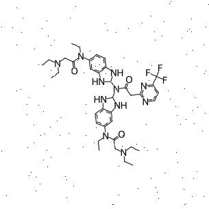 CCN(CC)CC(=O)N(CC)c1ccc2c(c1)NC(N(C(=O)Cc1nccc(C(F)(F)F)n1)C1Nc3ccc(N(CC)C(=O)CN(CC)CC)cc3N1)N2